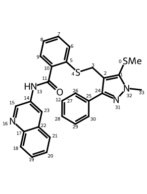 CSc1c(CSc2ccccc2C(=O)Nc2cnc3ccccc3c2)c(-c2ccccc2)nn1C